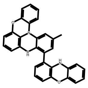 Cc1cc(-c2cccc3c2Nc2ccccc2O3)c2c(c1)N1c3ccccc3Oc3cccc(c31)B2